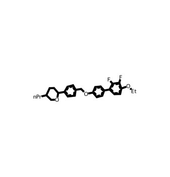 CCCC1CCC(c2ccc(COc3ccc(-c4ccc(OCC)c(F)c4F)cc3)cc2)OC1